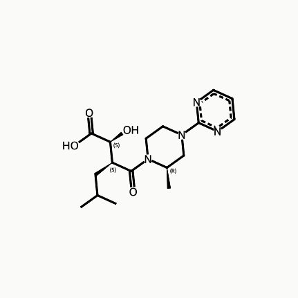 CC(C)C[C@H](C(=O)N1CCN(c2ncccn2)C[C@H]1C)[C@H](O)C(=O)O